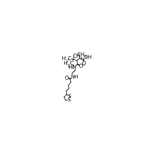 CC(C(=O)O)C(C(=O)NCCNC(=O)CCCCC1CCSS1)C(C)(C)C